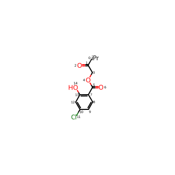 CC(C)C(=O)COC(=O)c1ccc(Cl)cc1O